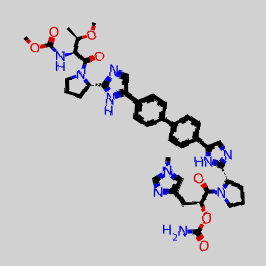 COC(=O)N[C@H](C(=O)N1CCC[C@H]1c1ncc(-c2ccc(-c3ccc(-c4cnc([C@@H]5CCCN5C(=O)[C@H](Cc5cn(C)cn5)OC(N)=O)[nH]4)cc3)cc2)[nH]1)[C@@H](C)OC